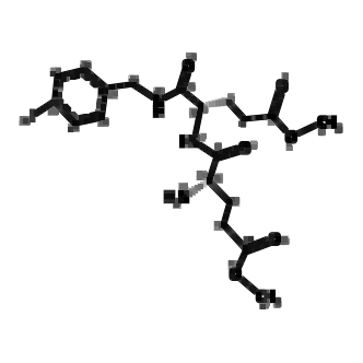 COC(=O)CC[C@H](NC(=O)[C@@H](N)CCC(=O)OC)C(=O)NCc1ccc(I)cc1